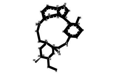 CCN1C[C@H]2COc3ccc(C)c(c3)-c3cnn4ccc(nc34)NCCN2C[C@H]1C